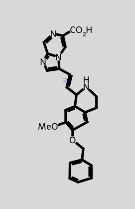 COc1cc2c(cc1OCc1ccccc1)CCNC2/C=C/c1cnc2cnc(C(=O)O)cn12